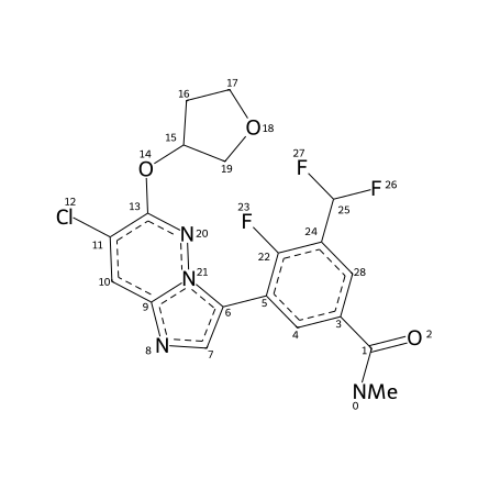 CNC(=O)c1cc(-c2cnc3cc(Cl)c(OC4CCOC4)nn23)c(F)c(C(F)F)c1